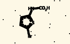 O=C(O)Nc1ccc(Br)s1